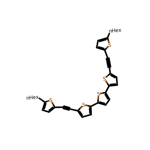 CCCCCCc1ccc(C#Cc2ccc(-c3ccc(-c4ccc(C#Cc5ccc(CCCCCC)s5)s4)s3)s2)s1